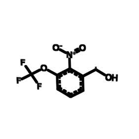 O=[N+]([O-])c1c([CH]O)cccc1OC(F)(F)F